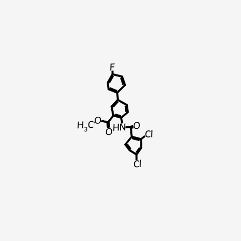 COC(=O)c1cc(-c2ccc(F)cc2)ccc1NC(=O)c1ccc(Cl)cc1Cl